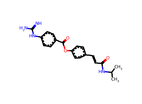 CC(C)NC(=O)C=Cc1ccc(OC(=O)c2ccc(NC(=N)N)cc2)cc1